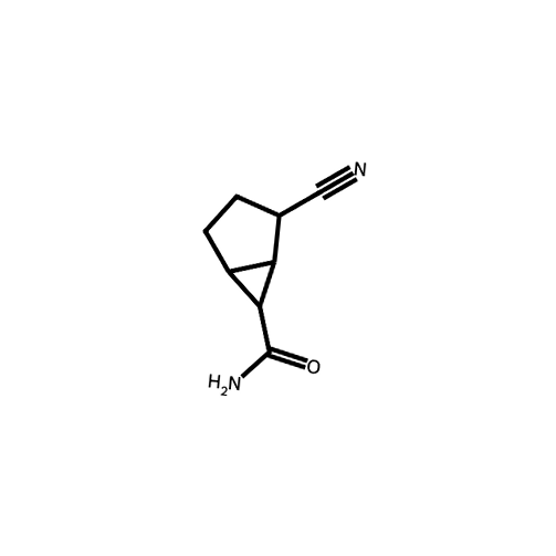 N#CC1CCC2C(C(N)=O)C12